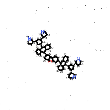 C=N/C=C(\C=C/C)c1cc(-c2cccnc2)cc(-c2c3ccccc3c(-c3ccc4oc5cc(-c6c7ccccc7c(-c7cc(-c8cccnc8)cc(-c8cccnc8)c7)c7ccccc67)ccc5c4c3)c3ccccc23)c1